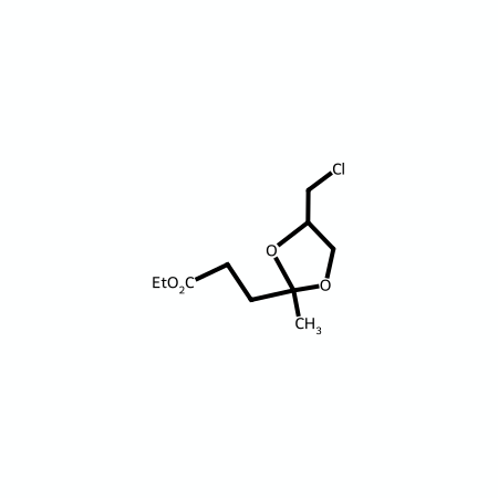 CCOC(=O)CCC1(C)OCC(CCl)O1